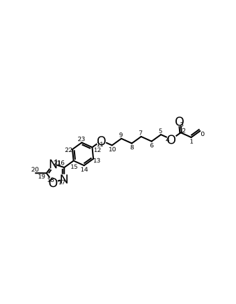 C=CC(=O)OCCCCCCOc1ccc(-c2noc(C)n2)cc1